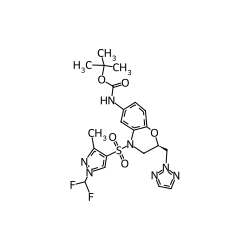 Cc1nn(C(F)F)cc1S(=O)(=O)N1C[C@H](Cn2nccn2)Oc2ccc(NC(=O)OC(C)(C)C)cc21